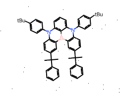 CC(C)(C)c1ccc(N2c3ccc(C(C)(C)c4ccccc4)cc3B3c4cc(C(C)(C)c5ccccc5)ccc4N(c4ccc(C(C)(C)C)cc4)c4cccc2c43)cc1